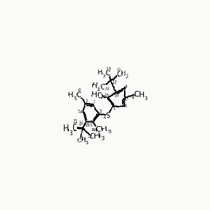 Cc1cc(Sc2cc(C)cc(C(C)(C)C)c2O)c(C)c(C(C)(C)C)c1